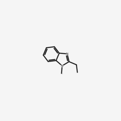 [CH2]n1c(CC)nc2ccccc21